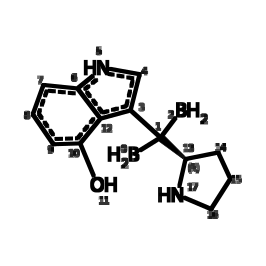 BC(B)(c1c[nH]c2cccc(O)c12)[C@H]1CCCN1